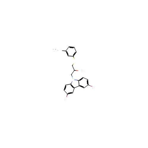 COc1cccc(SCC(O)Cn2c3ccc(Br)cc3c3cc(Br)ccc32)c1